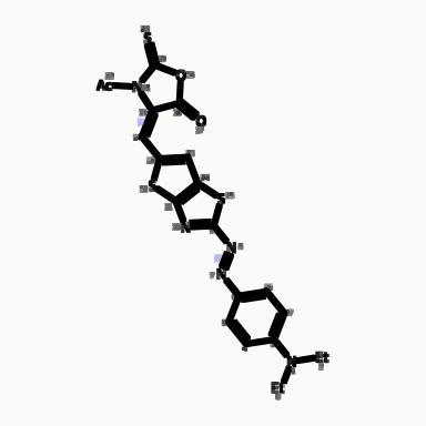 CCN(CC)c1ccc(/N=N/c2nc3sc(/C=C4\C(=O)OC(=S)N4C(C)=O)cc3s2)cc1